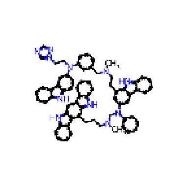 CN(CCc1cc(N(CN(C)CCCc2c3[nH]c4ccccc4c3cc3[nH]c4ccccc4c23)c2ccccc2)cc2c1[nH]c1ccccc12)Cc1cccc(N(CCn2cncn2)c2ccc3[nH]c4ccccc4c3c2)c1